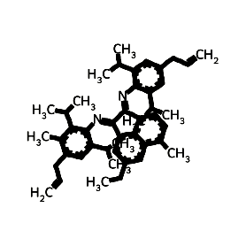 C=CCc1cc(C(C)C)c(N=C2C(=Nc3c(C(C)C)cc(CC=C)c(C)c3C(C)C)c3cc(CC)cc4c(C)ccc2c34)c(C(C)C)c1